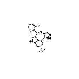 Fc1cccc(F)c1C1=Nc2cn[nH]c2-c2cc(C(F)(F)F)cc3[nH]cc1c23